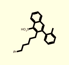 Cc1ccccc1-c1cc2ccccc2c(S(=O)(=O)O)c1CCCCCC(C)C